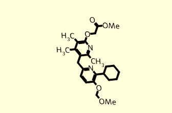 COCOc1ccc(Cc2c(C)nc(OCC(=O)OC)c(C)c2C)nc1C1CCCCC1